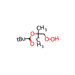 CC(C)(COO)OC(=O)C(C)(C)C